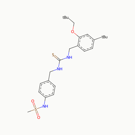 CC(C)(C)COc1cc(C(C)(C)C)ccc1CNC(=S)NCc1ccc(NS(C)(=O)=O)cc1